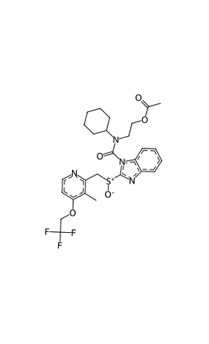 CC(=O)OCCN(C(=O)n1c([S+]([O-])Cc2nccc(OCC(F)(F)F)c2C)nc2ccccc21)C1CCCCC1